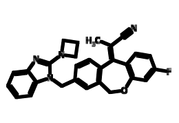 C/C(C#N)=C1\c2ccc(Cn3c(N4CCC4)nc4ccccc43)cc2COc2cc(F)ccc21